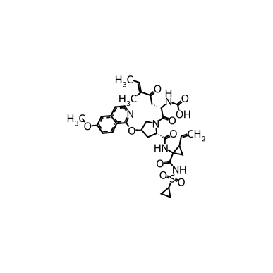 C=CC1CC1(NC(=O)[C@@H]1C[C@@H](Oc2nccc3cc(OC)ccc23)CN1C(=O)[C@H](CC(=O)/C(C)=C/C)NC(=O)O)C(=O)NS(=O)(=O)C1CC1